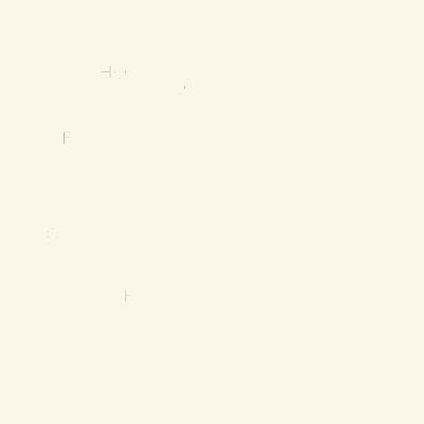 COc1c(F)c(C(=O)O)c2c(-c3ccccc3)c(-c3ccccc3)c(-c3ccccc3)c(-c3ccccc3)c2c1F